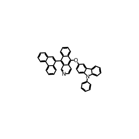 c1ccc(-n2c3ccccc3c3cc(Oc4c5ccccc5c(-c5cc6ccccc6c6ccccc56)c5cnccc45)ccc32)cc1